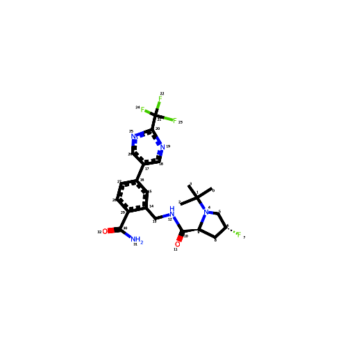 CC(C)(C)N1C[C@H](F)C[C@H]1C(=O)NCc1cc(-c2cnc(C(F)(F)F)nc2)ccc1C(N)=O